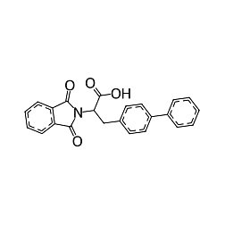 O=C(O)C(Cc1ccc(-c2ccccc2)cc1)N1C(=O)c2ccccc2C1=O